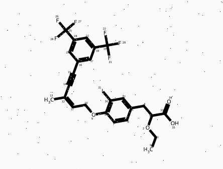 CCOC(Cc1ccc(OCC=C(C)C#Cc2cc(C(F)(F)F)cc(C(F)(F)F)c2)c(I)c1)C(=O)O